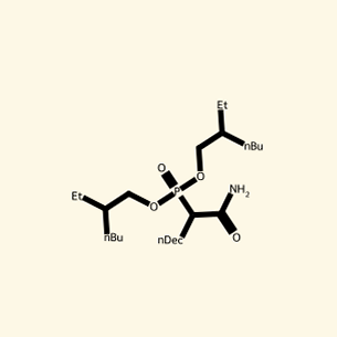 CCCCCCCCCCC(C(N)=O)P(=O)(OCC(CC)CCCC)OCC(CC)CCCC